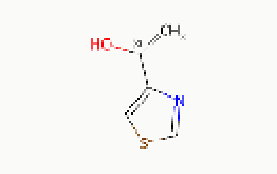 C[C@@H](O)c1cscn1